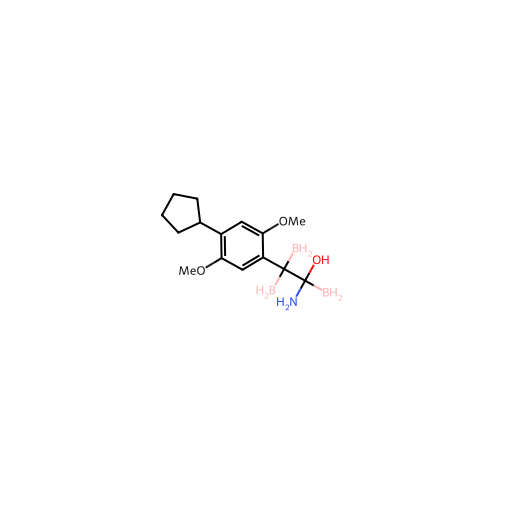 BC(N)(O)C(B)(B)c1cc(OC)c(C2CCCC2)cc1OC